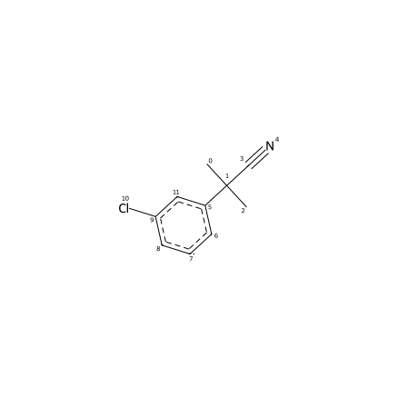 CC(C)(C#N)c1c[c]cc(Cl)c1